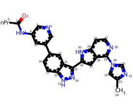 CCCC(=O)Nc1cncc(-c2ccc3[nH]nc(-c4cc5c(-n6cnc(C)c6)nccc5[nH]4)c3c2)c1